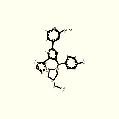 CC(=O)Nc1cc(-c2cc(C(c3ccc(Cl)cc3)N3CC[C@H](CO)C3)c(-c3nnc[nH]3)s2)ccn1